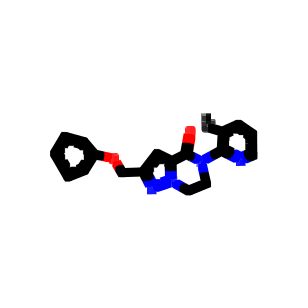 Cc1cccnc1N1CCn2nc(COc3ccccc3)cc2C1=O